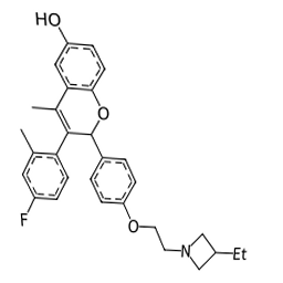 CCC1CN(CCOc2ccc(C3Oc4ccc(O)cc4C(C)=C3c3ccc(F)cc3C)cc2)C1